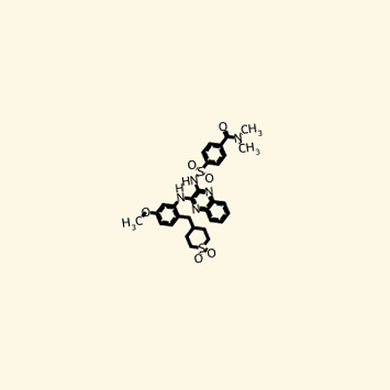 COc1ccc(CC2CCS(=O)(=O)CC2)c(Nc2nc3ccccc3nc2NS(=O)(=O)c2ccc(C(=O)N(C)C)cc2)c1